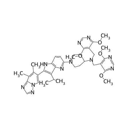 COc1ncnc(OC)c1CN(Cc1c(OC)ncnc1OC)C1CCN(c2ccc3[nH]c(-c4cn5ncnc5c(C)c4C)c(C(C)C)c3n2)CC1